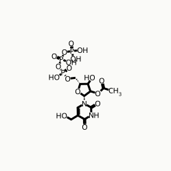 CC(=O)OC1C(O)[C@@H](COP(=O)(O)OP(=O)(O)OP(=O)(O)O)O[C@H]1n1cc(CO)c(=O)[nH]c1=O